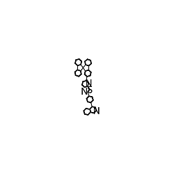 c1ccc2c(c1)-c1ccccc1C21c2ccccc2-c2ccc(-c3ccc4nc(-c5ccc(-c6cncc7ccccc67)cc5)sc4n3)cc21